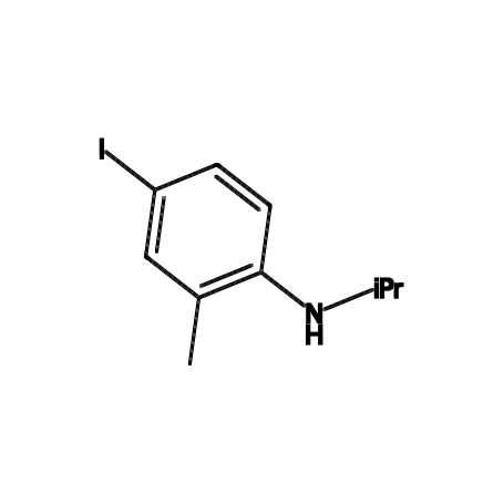 Cc1cc(I)ccc1NC(C)C